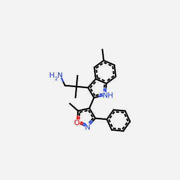 Cc1ccc2[nH]c(-c3c(-c4ccccc4)noc3C)c(C(C)(C)CN)c2c1